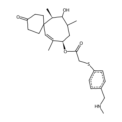 CNCc1ccc(SCC(=O)O[C@@H]2CC(C)C(O)[C@H](C)C3(/C=C\2C)CCC(=O)CC3)cc1